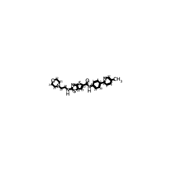 Cc1ccc(-c2ccc(NC(=O)c3cc4sc(NCCN5CCOCC5)nc4s3)cc2)nc1